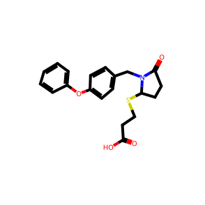 O=C(O)CCSC1CCC(=O)N1Cc1ccc(Oc2ccccc2)cc1